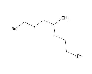 CCC(C)C[CH]CC(C)CCCC(C)C